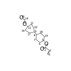 C=CC(=O)OC1CCC(C2CCC(OC=O)CC2)CC1